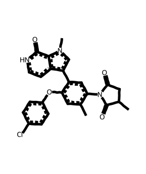 Cc1cc(Oc2ccc(Cl)cc2)c(-c2cn(C)c3c(=O)[nH]ccc23)cc1N1C(=O)CC(C)C1=O